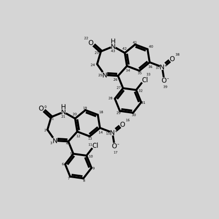 O=C1CN=C(c2ccccc2Cl)c2cc([N+](=O)[O-])ccc2N1.O=C1CN=C(c2ccccc2Cl)c2cc([N+](=O)[O-])ccc2N1